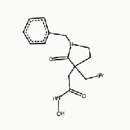 CC(C)CC1(CC(=O)NO)CCN(Cc2ccccc2)C1=O